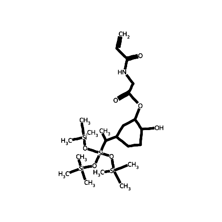 C=CC(=O)NCC(=O)OC1CC(C(C)[Si](O[Si](C)(C)C)(O[Si](C)(C)C)O[Si](C)(C)C)CCC1O